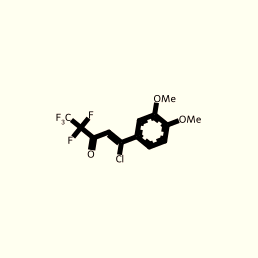 COc1ccc(C(Cl)=CC(=O)C(F)(F)C(F)(F)F)cc1OC